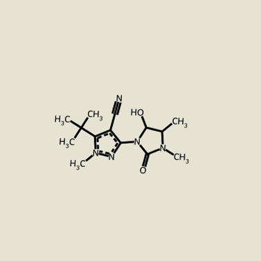 CC1C(O)N(c2nn(C)c(C(C)(C)C)c2C#N)C(=O)N1C